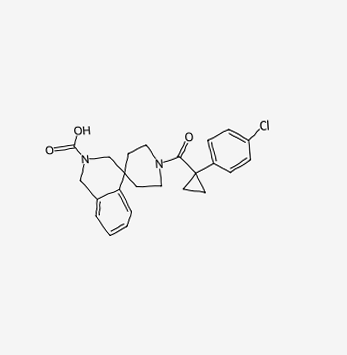 O=C(O)N1Cc2ccccc2C2(CCN(C(=O)C3(c4ccc(Cl)cc4)CC3)CC2)C1